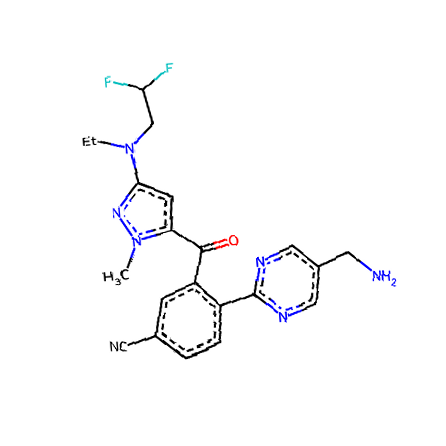 CCN(CC(F)F)c1cc(C(=O)c2cc(C#N)ccc2-c2ncc(CN)cn2)n(C)n1